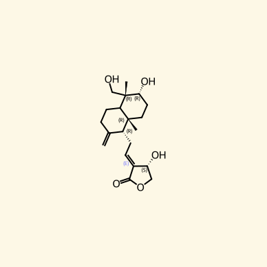 C=C1CCC2[C@](C)(CO)[C@H](O)CC[C@]2(C)[C@@H]1C/C=C1/C(=O)OC[C@H]1O